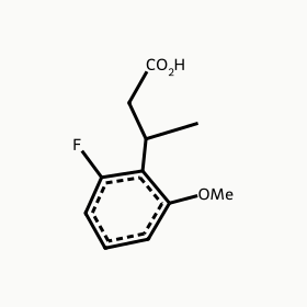 COc1cccc(F)c1C(C)CC(=O)O